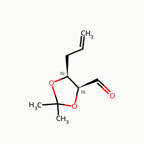 C=CC[C@@H]1OC(C)(C)O[C@@H]1C=O